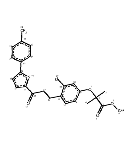 CC(C)(C)OC(=O)C(C)(C)Oc1ccc(CCC(=O)c2ccc(-c3ccc(C(F)(F)F)cc3)s2)c(Cl)c1